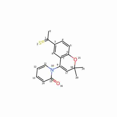 CC(=S)c1ccc2c(c1)C(n1ccccc1=O)=CC(C)(C)O2